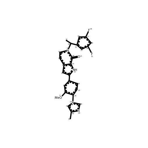 COc1cc(-c2cc3ccn(C(C)c4cc(F)cc(F)c4)c(=O)c3[nH]2)ccc1-n1cnc(C)c1